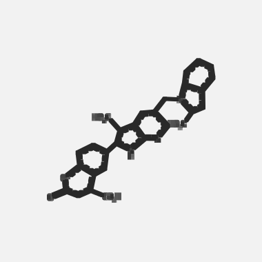 O=C(O)c1c(-c2ccc3oc(=O)cc(C(=O)O)c3c2)[nH]c2ncc(Cn3c(C(=O)O)cc4ccccc43)cc12